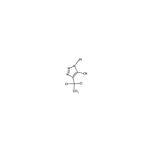 CC(C)n1nnc(C(Cl)(Cl)C(Cl)(Cl)Cl)c1C#N